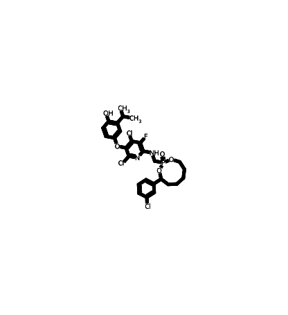 CC(C)c1cc(Oc2c(Cl)nc(NCP3(=O)OCCCCCC(c4cccc(Cl)c4)O3)c(F)c2Cl)ccc1O